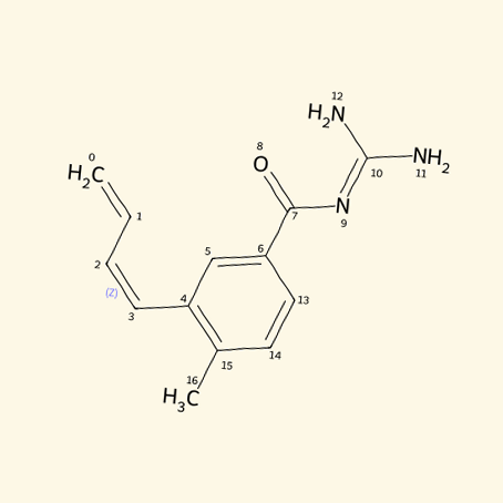 C=C/C=C\c1cc(C(=O)N=C(N)N)ccc1C